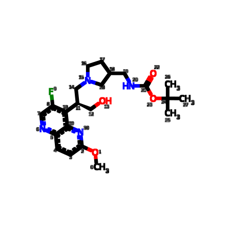 COc1ccc2ncc(F)c([C@H](CO)CN3CCC(CNC(=O)OC(C)(C)C)C3)c2n1